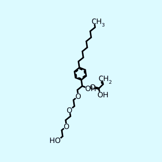 C=CC(=O)O.CCCCCCCCCc1ccc(C(O)COCCOCCOCCO)cc1